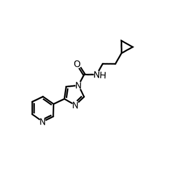 O=C(NCCC1CC1)n1cnc(-c2cccnc2)c1